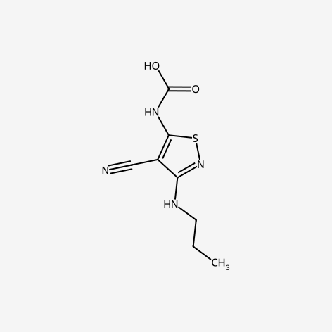 CCCNc1nsc(NC(=O)O)c1C#N